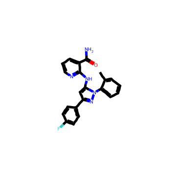 Cc1ccccc1-n1nc(-c2ccc(F)cc2)cc1Nc1ncccc1C(N)=O